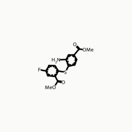 COC(=O)c1ccc(Sc2ccc(F)cc2C(=O)OC)c(N)c1